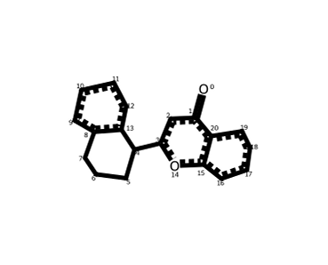 O=c1cc(C2CCCc3ccccc32)oc2ccccc12